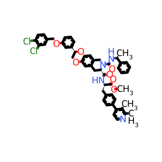 COC(=O)[C@H](Cc1ccc(-c2ccnc(C)c2C)cc1)NC(=O)[C@@H]1Cc2cc3c(cc2CN1C(=O)N[C@H](C)c1ccccc1)O[C@@H](c1cccc(OCc2ccc(Cl)c(Cl)c2)c1)CO3